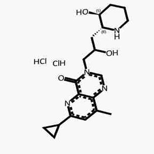 Cc1cc(C2CC2)nc2c(=O)n(CC(O)C[C@H]3NCCC[C@@H]3O)cnc12.Cl.Cl